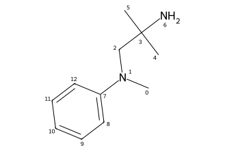 CN(CC(C)(C)N)c1ccccc1